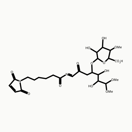 COC(OC)C(O)C(O)C(CC(=O)/C=N/C(=O)CCCCCN1C(=O)C=CC1=O)OC1OC(C(=O)O)C(OC)C(O)C1O